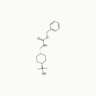 CC(C)(O)[C@H]1CC[C@H](CNC(=O)OCc2ccccc2)CC1